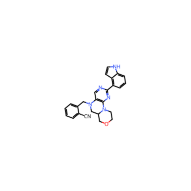 N#Cc1ccccc1CN1CC2COCCN2c2nc(-c3cccc4[nH]ccc34)ncc21